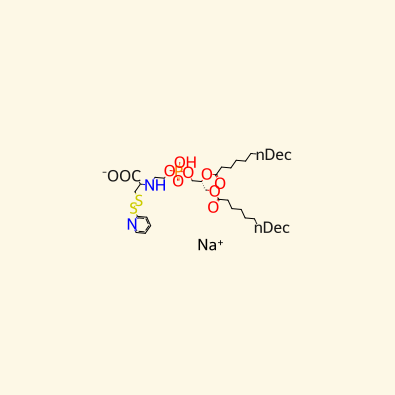 CCCCCCCCCCCCCCCC(=O)OC[C@H](COP(=O)(O)OCCNC(CSSc1ccccn1)C(=O)[O-])OC(=O)CCCCCCCCCCCCCCC.[Na+]